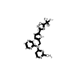 Cc1nccc(N(Cc2ccc(-c3noc(C(F)(F)F)n3)s2)c2cnccn2)n1